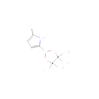 Cc1ccc(B2OC(C)(C)C(C)(C)O2)[nH]1